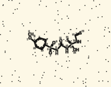 COc1ccc(S(=O)(=O)NC(=O)NP(O)(=S)NC=S)cc1